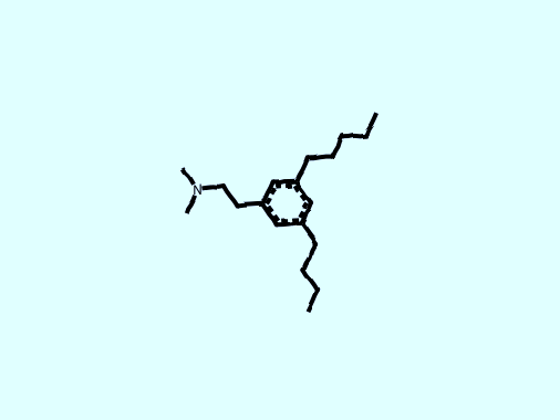 CCCCCc1cc(CCCC)cc(CCN(C)C)c1